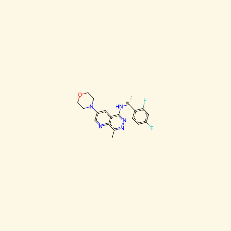 Cc1nnc(N[C@H](C)c2ccc(F)cc2F)c2cc(N3CCOCC3)cnc12